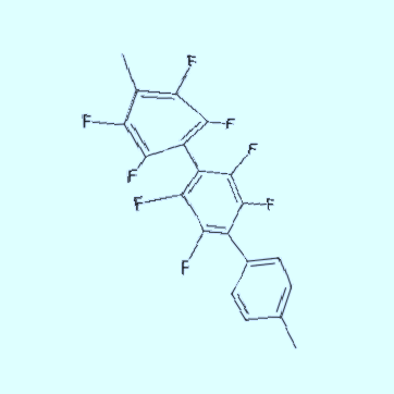 Cc1ccc(-c2c(F)c(F)c(-c3c(F)c(F)c(C)c(F)c3F)c(F)c2F)cc1